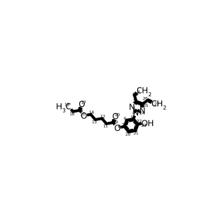 C=Cc1nn(-c2cc(OC(=O)CCCCOC(=O)CC)ccc2O)nc1C=C